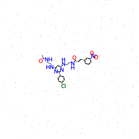 CC(=O)NCCNc1cc(NCCNC(=O)C=Cc2cccc([N+](=O)[O-])c2)nc(-c2ccc(Cl)cc2)n1